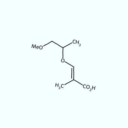 COCC(C)OC=C(C)C(=O)O